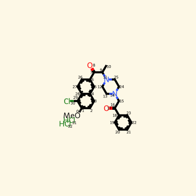 COc1ccc2cc(C(=O)C(C)N3CCN(CC(=O)c4ccccc4)CC3)ccc2c1Cl.Cl.Cl